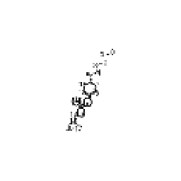 CCCCCCc1ccc(OC(=O)OCC(C)C)cc1